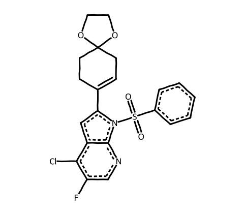 O=S(=O)(c1ccccc1)n1c(C2=CCC3(CC2)OCCO3)cc2c(Cl)c(F)cnc21